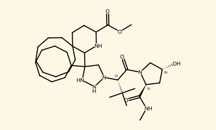 CNC(=O)[C@@H]1C[C@@H](O)CN1C(=O)[C@@H](N1CC(C2CCCCCCC2)(C2NC(C(=O)OC)CCC23CCCCCCCC3)NN1)C(C)(C)C